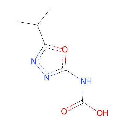 CC(C)c1nnc(NC(=O)O)o1